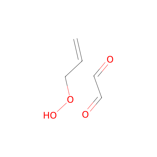 C=CCOO.O=CC=O